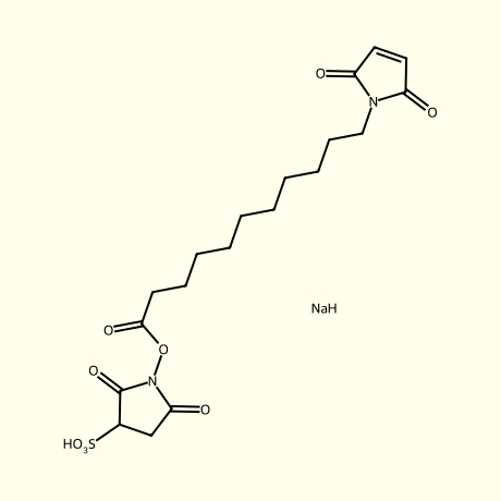 O=C(CCCCCCCCCCN1C(=O)C=CC1=O)ON1C(=O)CC(S(=O)(=O)O)C1=O.[NaH]